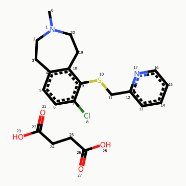 CN1CCc2ccc(Cl)c(SCc3ccccn3)c2CC1.O=C(O)CCC(=O)O